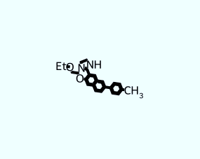 CCOCCOc1cc2ccc(-c3ccc(C)cc3)cc2cc1C1=NCCN1